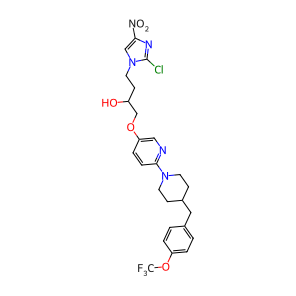 O=[N+]([O-])c1cn(CCC(O)COc2ccc(N3CCC(Cc4ccc(OC(F)(F)F)cc4)CC3)nc2)c(Cl)n1